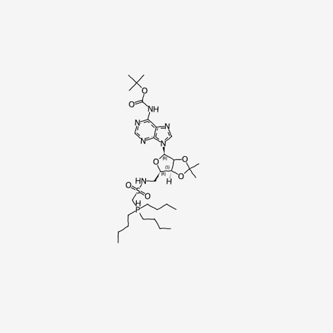 CCCC[PH](CCCC)(CCCC)CS(=O)(=O)NC[C@H]1O[C@@H](n2cnc3c(NC(=O)OC(C)(C)C)ncnc32)C2OC(C)(C)O[C@H]21